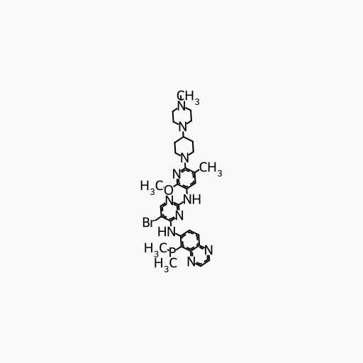 COc1nc(N2CCC(N3CCN(C)CC3)CC2)c(C)cc1Nc1ncc(Br)c(Nc2ccc3nccnc3c2P(C)C)n1